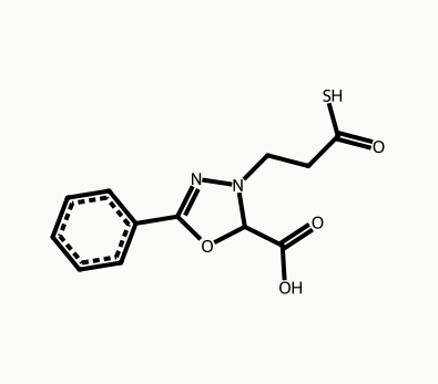 O=C(S)CCN1N=C(c2ccccc2)OC1C(=O)O